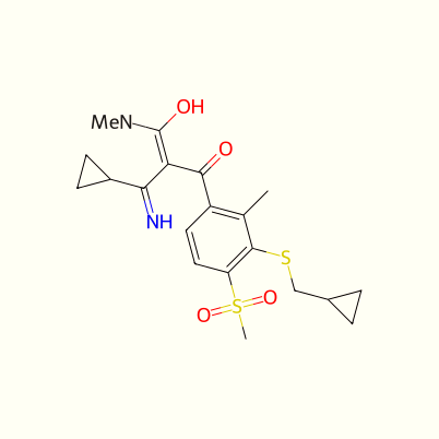 CN/C(O)=C(\C(=N)C1CC1)C(=O)c1ccc(S(C)(=O)=O)c(SCC2CC2)c1C